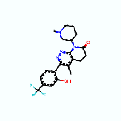 Cc1c(-c2ccc(C(F)(F)F)cc2O)nnc2c1CCC(=O)N2[C@@H]1CCCN(C)C1